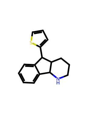 c1csc(C2c3ccccc3C3NCCCC32)c1